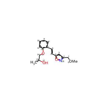 COCc1cc(C=Cc2ccccc2OCC(C)O)on1